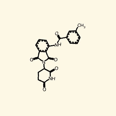 Cc1cccc(C(=O)Nc2cccc3c2C(=O)N(C2CCC(=O)NC2=O)C3=O)c1